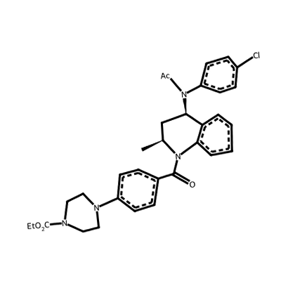 CCOC(=O)N1CCN(c2ccc(C(=O)N3c4ccccc4[C@H](N(C(C)=O)c4ccc(Cl)cc4)C[C@@H]3C)cc2)CC1